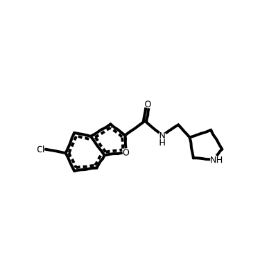 O=C(NCC1CCNC1)c1cc2cc(Cl)ccc2o1